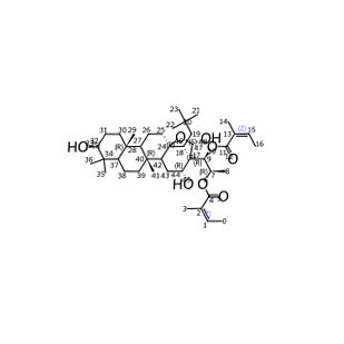 C/C=C(/C)C(=O)O[C@H](C)[C@H](OC(=O)/C(C)=C\C)[C@@]12C(CC(C)(C)C)[C@]3(CCC4[C@@]5(C)CC[C@H](O)C(C)(C)C5CC[C@@]4(C)C3C[C@H]1O)O[C@@H]2O